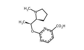 C[C@H](Oc1nccc(C(=O)O)n1)[C@@H]1CCCN1C